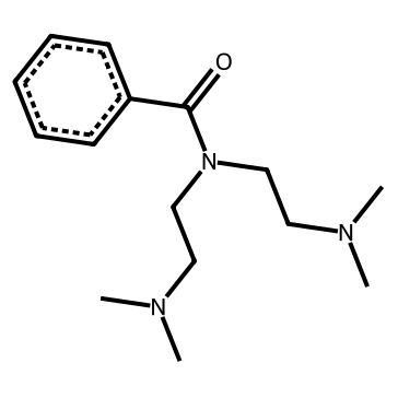 CN(C)CCN(CCN(C)C)C(=O)c1ccccc1